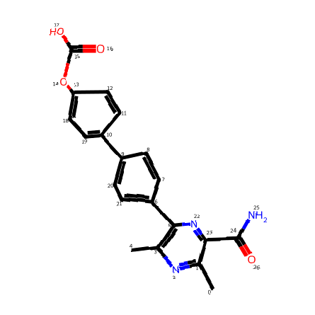 Cc1nc(C)c(-c2ccc(-c3ccc(OC(=O)O)cc3)cc2)nc1C(N)=O